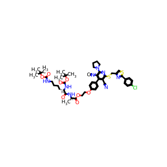 [C-]#[N+]c1c(N2CCCC2)nc(SCc2csc(-c3ccc(Cl)cc3)n2)c(C#N)c1-c1ccc(OCCOC(=O)[C@H](C)NC(=O)[C@H](CCCCNC(=O)OC(C)(C)C)NC(=O)OC(C)(C)C)cc1